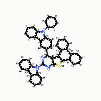 c1ccc(-n2c3ccccc3c3cc(-c4nc(-n5c6ccccc6c6ccccc65)nc5sc6c7ccccc7c7ccccc7c6c45)ccc32)cc1